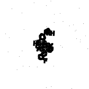 CC(=O)O[C@@H](C(=O)N[C@H](C)c1ccc(N2C=CCN2)cc1)[C@@H](OC(C)=O)C(=O)N1Cc2cccc(F)c2C1